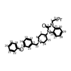 CC(C)Cn1c(=O)n(C2CCN(Cc3cccc(Oc4ccccc4)c3)CC2)c2ccccc21